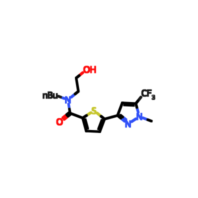 CCCCN(CCO)C(=O)c1ccc(-c2cc(C(F)(F)F)n(C)n2)s1